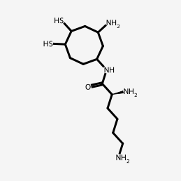 NCCCC[C@H](N)C(=O)NC1CCC(S)C(S)CC(N)C1